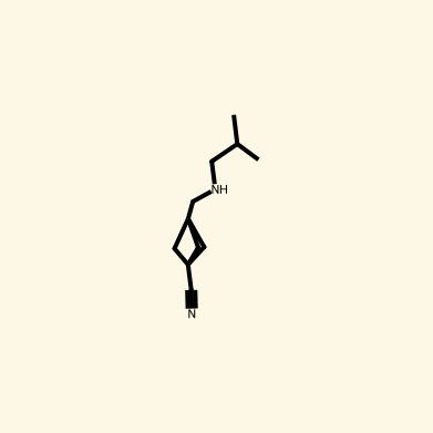 CC(C)CNCC12CC(C#N)(C1)C2